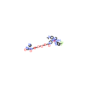 CC(C)N(C)C1CCC(N2CC[C@H](Nc3ncnc4ccc(C(F)(F)F)cc34)C2=O)[C@H](NC2CCN(C(=O)CCOCCOCCOCCOCCNC(=O)[C@H]3CC(=O)N(C)[C@@H]3c3cccnc3)CC2)C1